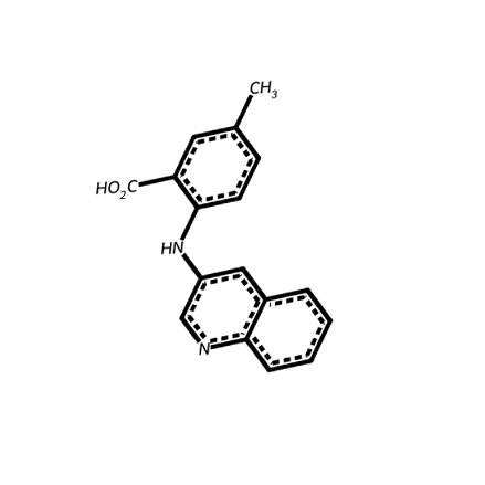 Cc1ccc(Nc2cnc3ccccc3c2)c(C(=O)O)c1